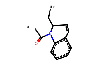 CC(C)COC(=O)N1c2ccccc2C=CC1CC(C)C